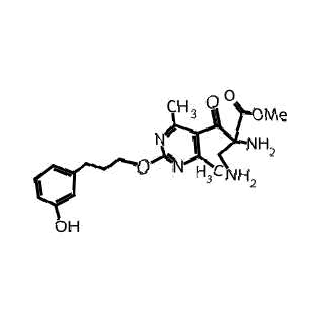 COC(=O)C(N)(CN)C(=O)c1c(C)nc(OCCCc2cccc(O)c2)nc1C